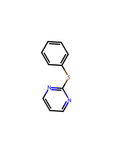 c1ccc(Sc2ncccn2)cc1